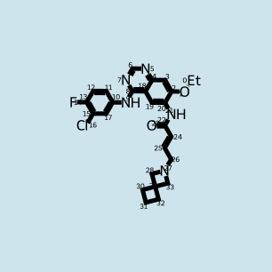 CCOc1cc2ncnc(Nc3ccc(F)c(Cl)c3)c2cc1NC(=O)/C=C/CN1CC2(CCC2)C1